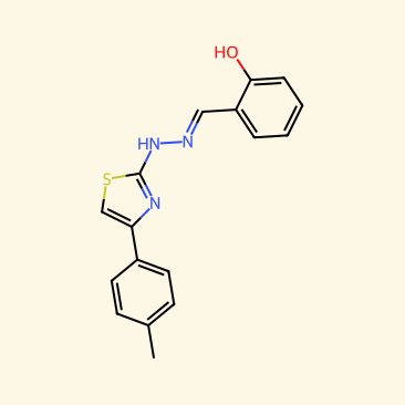 Cc1ccc(-c2csc(NN=Cc3ccccc3O)n2)cc1